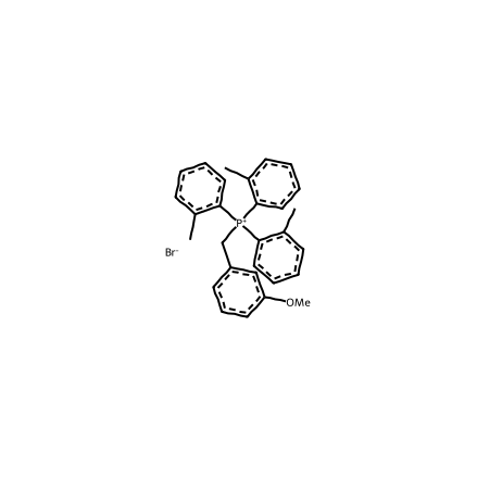 COc1cccc(C[P+](c2ccccc2C)(c2ccccc2C)c2ccccc2C)c1.[Br-]